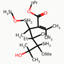 CCCOC(=O)C(=C(C)C)C(C)([SiH2]O[SiH3])C(C)(CC)C([SiH3])(OC)C(C)(C)O